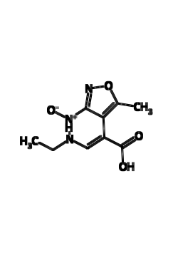 CCN1C=C(C(=O)O)c2c(noc2C)[NH+]1[O-]